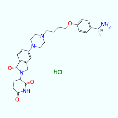 C[C@@H](N)c1ccc(OCCCCN2CCN(c3ccc4c(c3)CN(C3CCC(=O)NC3=O)C4=O)CC2)cc1.Cl